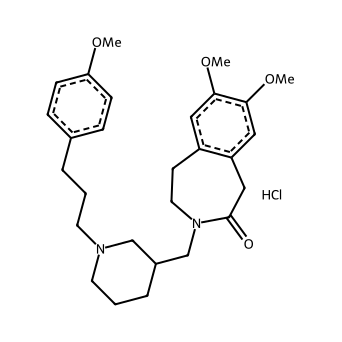 COc1ccc(CCCN2CCCC(CN3CCc4cc(OC)c(OC)cc4CC3=O)C2)cc1.Cl